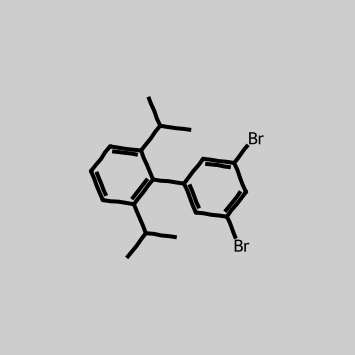 CC(C)c1cccc(C(C)C)c1-c1cc(Br)cc(Br)c1